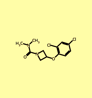 CN(C)C(=O)N1CC(Oc2ccc(Cl)cc2Cl)C1